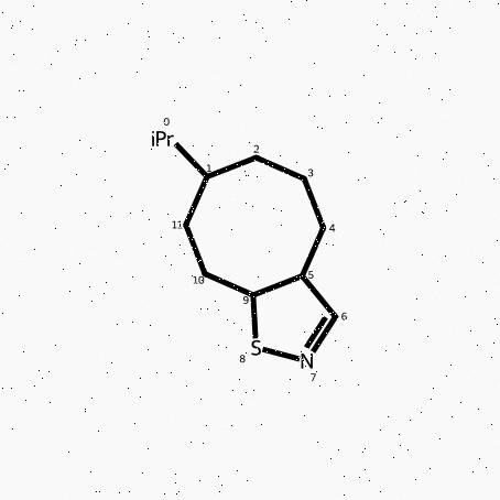 CC(C)C1CCCC2C=NSC2CC1